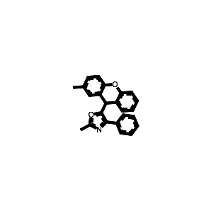 Cc1ccc2c(c1)C(c1oc(C)nc1-c1ccccc1)c1ccccc1O2